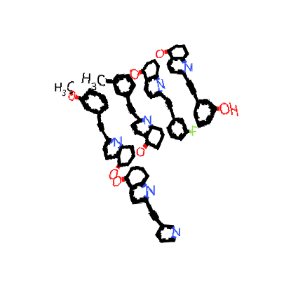 COc1cccc(C#Cc2ccc3c(n2)CCCC3=O)c1.Cc1cccc(C#Cc2ccc3c(n2)CCCC3=O)c1.O=C1CCCc2nc(C#Cc3cccc(F)c3)ccc21.O=C1CCCc2nc(C#Cc3cccc(O)c3)ccc21.O=C1CCCc2nc(C#Cc3cccnc3)ccc21